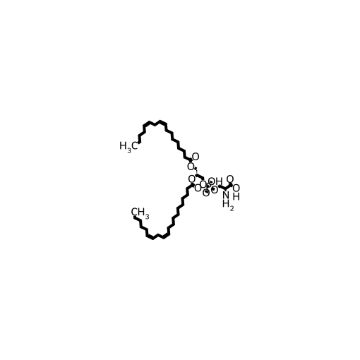 CCCC/C=C\C/C=C\CCCCCCCC(=O)OC[C@H](COP(=O)(O)OC[C@H](N)C(=O)O)OC(=O)CCCCCCCCC/C=C\C/C=C\CCCCC